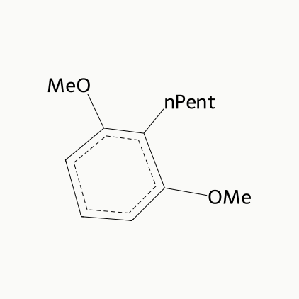 CCCCCc1c(OC)cccc1OC